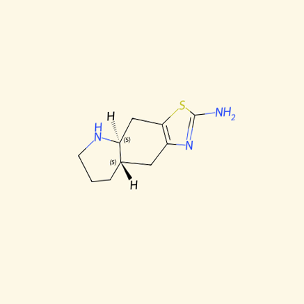 Nc1nc2c(s1)C[C@@H]1NCCC[C@H]1C2